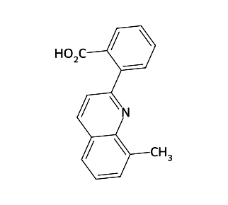 Cc1cccc2ccc(-c3ccccc3C(=O)O)nc12